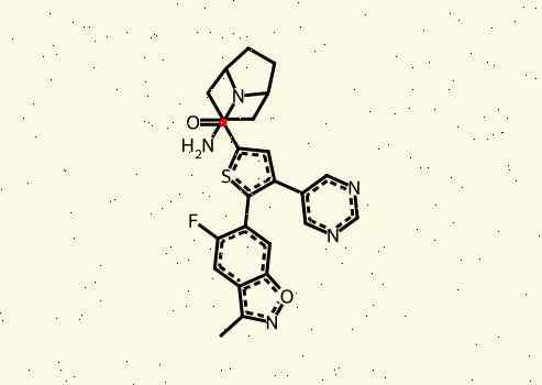 Cc1noc2cc(-c3sc(C(=O)N4C5CCC4CC(N)C5)cc3-c3cncnc3)c(F)cc12